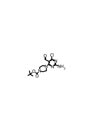 CC(C)(C)OC(=O)N1CCN(c2nc(N)nc(Cl)c2C=O)CC1